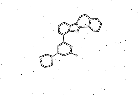 Brc1cc(-c2ccccc2)cc(-c2cccc3c2oc2c4ccccc4ccc32)c1